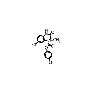 C[C@H]1C(=O)Nc2ccc(Cl)cc2N1C(=O)Oc1ccc(Cl)cc1